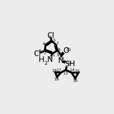 Nc1c(Cl)cc(Cl)cc1C(=O)N=[SH]C(C1CC1)C1CC1